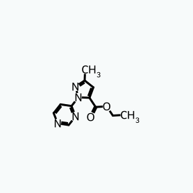 CCOC(=O)c1cc(C)nn1-c1ccncn1